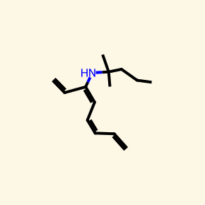 C=C/C=C\C=C(/C=C)NC(C)(C)CCC